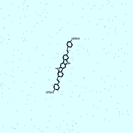 CCCCCCc1ccc(/C=C/c2ccc3c4cc5c(cc4n(C)c3c2)c2ccc(/C=C/c3ccc(CCCCCC)cc3)cc2n5C)cc1